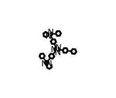 c1ccc(-c2ccc(-c3nc(-c4ccc(-c5c(-c6ccccc6)nc6ccccn56)cc4)nc(-c4ccc(-c5c(-c6ccccc6)nc6ccccn56)cc4)n3)cc2)cc1